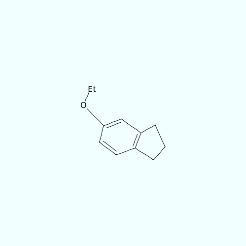 CCOc1ccc2c(c1)CCC2